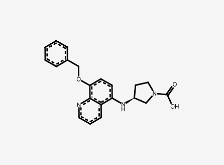 O=C(O)N1CC[C@H](Nc2ccc(OCc3ccccc3)c3ncccc23)C1